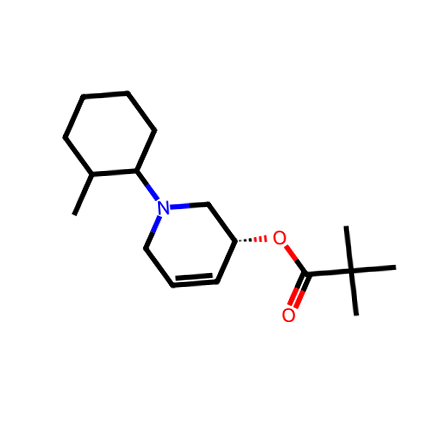 CC1CCCCC1N1CC=C[C@@H](OC(=O)C(C)(C)C)C1